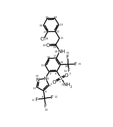 NS(=O)(=O)c1c(-n2cc(C(F)(F)F)cn2)ccc(NC(=O)Cc2ccccc2Cl)c1C(F)(F)F